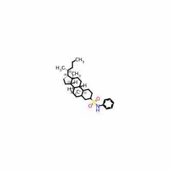 CCC[C@@H](C)[C@H]1CC[C@H]2[C@@H]3CCC4CC(S(=O)(=O)Nc5ccccc5)CC[C@]4(C)[C@H]3CC[C@]12C